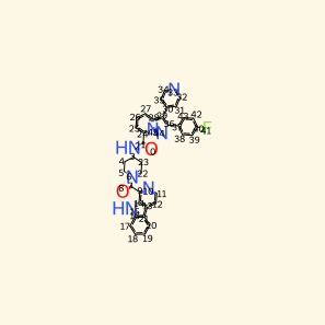 O=C(NC1CCN(C(=O)c2nccc3c2[nH]c2ccccc23)CC1)c1cccc2c(-c3ccncc3)c(-c3ccc(F)cc3)nn12